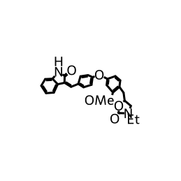 CCN1CC(Cc2ccc(Oc3ccc(/C=C4\C(=O)Nc5ccccc54)cc3)cc2OC)OC1=O